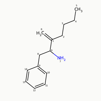 C=C(CCCC)C(N)Cc1ccccc1